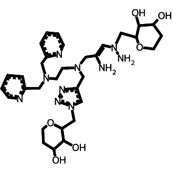 N/C(=C\N(N)CC1OCCC(O)C1O)CN(CCN(Cc1ccccn1)Cc1ccccn1)Cc1cn(CC2OCCC(O)C2O)nn1